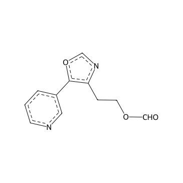 O=COCCc1ncoc1-c1cccnc1